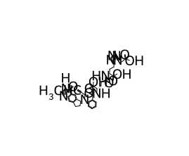 C#CCN(c1ccccc1C(=O)N[C@@H](CCC(=O)N[C@@H](CCc1nnnn1CC(=O)O)C(=O)O)C(=O)O)C1CCc2cc3nc(C)[nH]c(=O)c3cc21